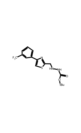 CC(C)(C)OC(=O)NNCc1nc(-c2cccc(C(F)(F)F)c2)cs1